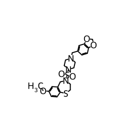 COc1ccc2c(c1)CN(S(=O)(=O)N1CCN(Cc3ccc4c(c3)OCO4)CC1)CCS2